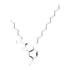 CCCCCCCCCCCCOc1ccc(OC)cc1NC(=O)NCCCCCC